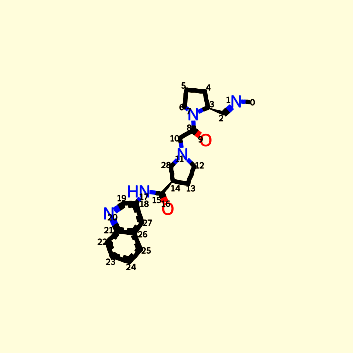 CN=C[C@@H]1CCCN1C(=O)CN1CC[C@@H](C(=O)Nc2cnc3ccccc3c2)C1